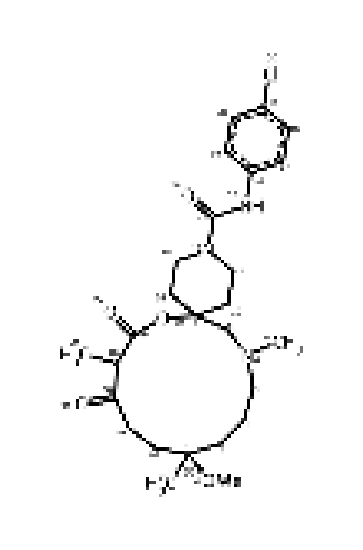 CO[C@]1(C)CCCN(C)CC2(CCN(C(=O)Nc3ccc(Cl)cc3)CC2)OC(=O)C(C)C(=O)CC1